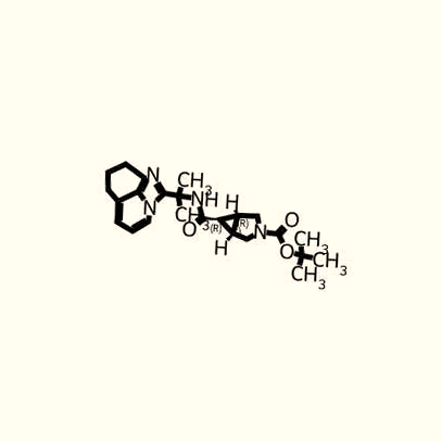 CC(C)(C)OC(=O)N1C[C@@H]2[C@H](C1)[C@H]2C(=O)NC(C)(C)c1nc2c3c(cccn13)CCC2